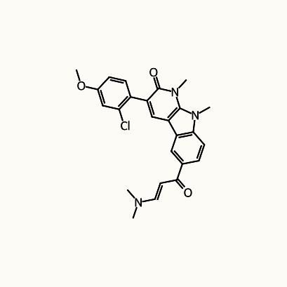 COc1ccc(-c2cc3c4cc(C(=O)/C=C/N(C)C)ccc4n(C)c3n(C)c2=O)c(Cl)c1